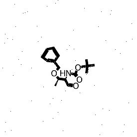 C[C@@H](OCc1ccccc1)[C@@H](C=O)NC(=O)OC(C)(C)C